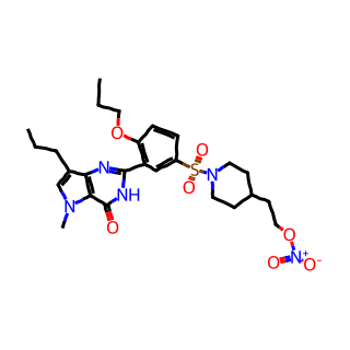 CCCOc1ccc(S(=O)(=O)N2CCC(CCO[N+](=O)[O-])CC2)cc1-c1nc2c(CCC)cn(C)c2c(=O)[nH]1